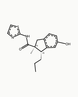 CCC[C@H]1c2cc(O)ccc2C[C@]1(C)C(=O)Nc1nccs1